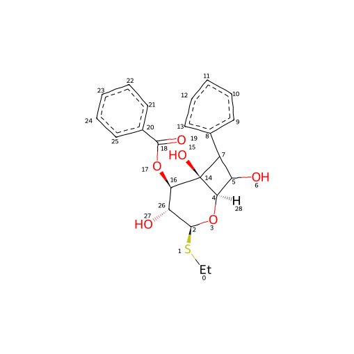 CCS[C@@H]1O[C@@H]2C(O)C(c3ccccc3)[C@@]2(O)[C@H](OC(=O)c2ccccc2)[C@H]1O